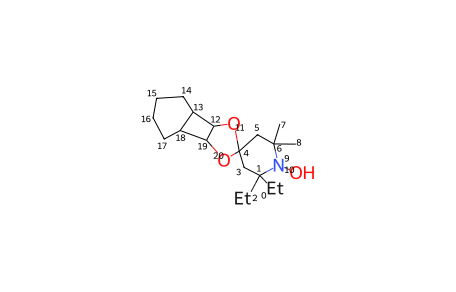 CCC1(CC)CC2(CC(C)(C)N1O)OC1C3CCCCC3C1O2